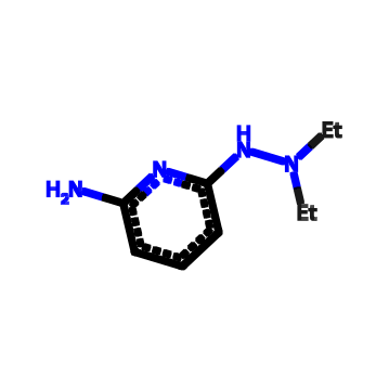 CCN(CC)Nc1cccc(N)n1